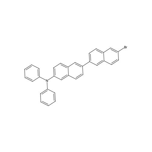 Brc1ccc2cc(-c3ccc4cc(N(c5ccccc5)c5ccccc5)ccc4c3)ccc2c1